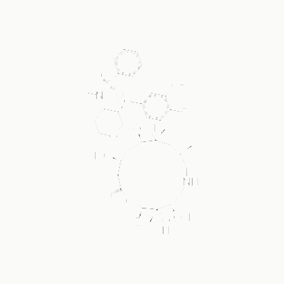 CC[C@H]1OC(=O)[C@H](C)[C@@H](O)[C@H](C)[C@@H](O[C@@H]2O[C@H](C)C[C@H](N(C)S(=O)(=O)c3ccccc3)[C@H]2Oc2ccc(F)c(C(F)(F)F)c2)[C@](C)(O)C[C@@H](C)CN[C@H](C)[C@@H](O)[C@]1(C)O